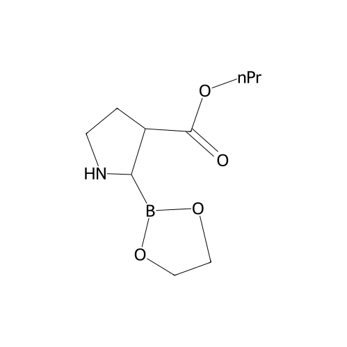 CCCOC(=O)C1CCNC1B1OCCO1